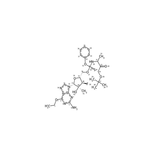 CCOc1nc(N)nc2c1ncn2[C@@H]1O[C@H](COP(=S)(NC(C)C(=O)COC(C)(C)C)Oc2ccccc2)[C@@H](F)[C@@]1(C)O